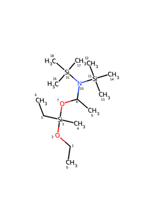 CCO[Si](C)(CC)OC(C)N([Si](C)(C)C)[Si](C)(C)C